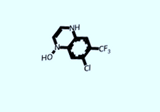 ON1C=CNc2cc(C(F)(F)F)c(Cl)cc21